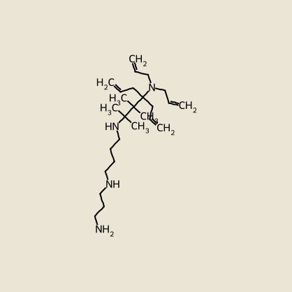 C=CCN(CC=C)C(CC=C)(CC=C)C(C)(C)C(C)(C)NCCCCNCCCN